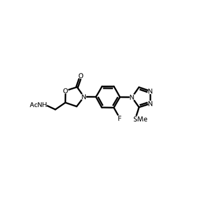 CSc1nncn1-c1ccc(N2CC(CNC(C)=O)OC2=O)cc1F